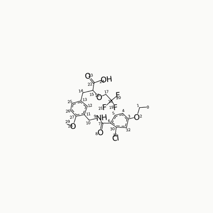 CCOc1ccc(C(=O)NCc2cc(CC(OCC(F)(F)F)C(=O)O)ccc2OC)c(Cl)c1